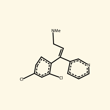 CNC/C=C(/c1cccnc1)c1ccc(Cl)cc1Cl